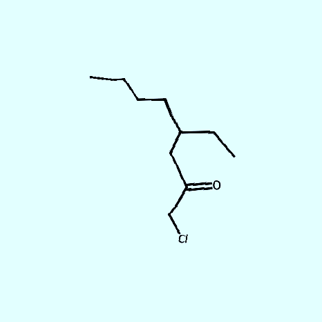 CCCCC(CC)CC(=O)CCl